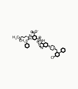 CN(C)CCC[C@H](CSc1ccccc1)Nc1ccc(S(=O)(=O)Nc2ncnc3cc(N4CCN(Cc5cc(Cl)ccc5-c5ccccc5)CC4)ccc23)cc1[N+](=O)[O-]